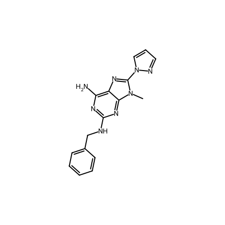 Cn1c(-n2cccn2)nc2c(N)nc(NCc3ccccc3)nc21